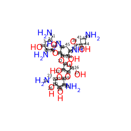 NC[C@@H]1C[C@@H](O)[C@@H](N)[C@@H](O[C@H]2[C@H](O[C@@H]3O[C@H](CO)[C@@H](O[C@H]4O[C@@H](CN)[C@@H](O)[C@H](O)[C@H]4N)[C@H]3O)[C@@H](O)[C@H](NC(=O)C3(O)CC(N)C3)C[C@@H]2N)O1